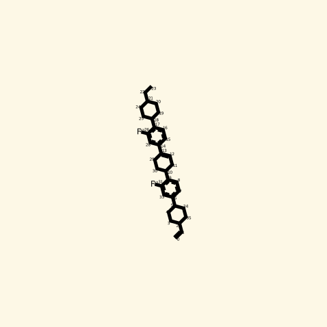 C=CC1CCC(c2ccc(C3CC=C(c4ccc(C5CCC(CC)CC5)c(F)c4)CC3)c(F)c2)CC1